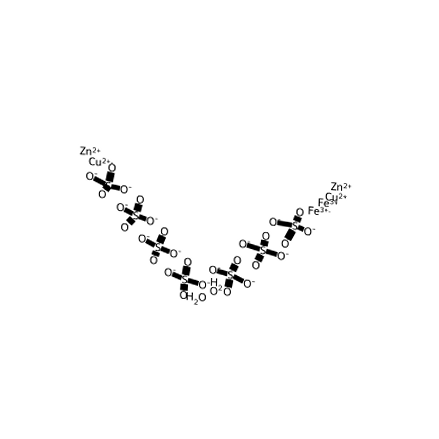 O.O.O=S(=O)([O-])[O-].O=S(=O)([O-])[O-].O=S(=O)([O-])[O-].O=S(=O)([O-])[O-].O=S(=O)([O-])[O-].O=S(=O)([O-])[O-].O=S(=O)([O-])[O-].[Cu+2].[Cu+2].[Fe+3].[Fe+3].[Zn+2].[Zn+2]